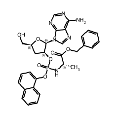 C[C@H](NP(=O)(Oc1cccc2ccccc12)O[C@H]1C[C@@H](CO)O[C@H]1n1cnc2c(N)ncnc21)C(=O)OCc1ccccc1